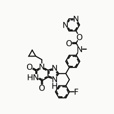 CN(C(=O)Oc1cncnc1)c1ccc(C(Cc2ccccc2F)c2nc3c([nH]2)c(=O)[nH]c(=O)n3CC2CC2)cc1